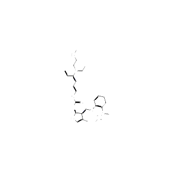 C=C/C(=C\C=C\NC(=N)/N=C1/NC=C(F)/C1=C\NC1=C(N(C)S(C)(=O)=O)CCC=C1)N(CC)CCNC